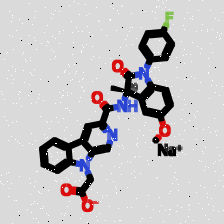 COc1ccc2c(c1)[C@](C)(NC(=O)c1cc3c4ccccc4n(CC(=O)[O-])c3cn1)C(=O)N2c1ccc(F)cc1.[Na+]